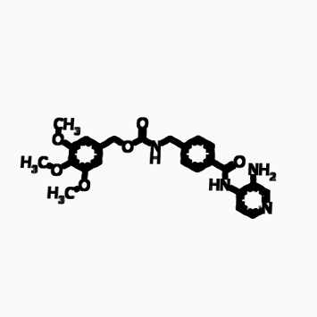 COc1cc(COC(=O)NCc2ccc(C(=O)Nc3ccncc3N)cc2)cc(OC)c1OC